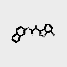 O=C(Nc1noc2c(F)cccc12)Oc1ccc2ccccc2c1